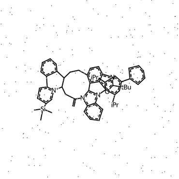 C=C1CC2C(CCc3ccc4nc(C(C)(C)C)oc4c3-c3n(-c4c(C(C)C)cc(-c5ccccc5)cc4C(C)C)c4ccccc4[n+]31)c1ccccc1-c1ccc([Si](C)(C)C)c[n+]12